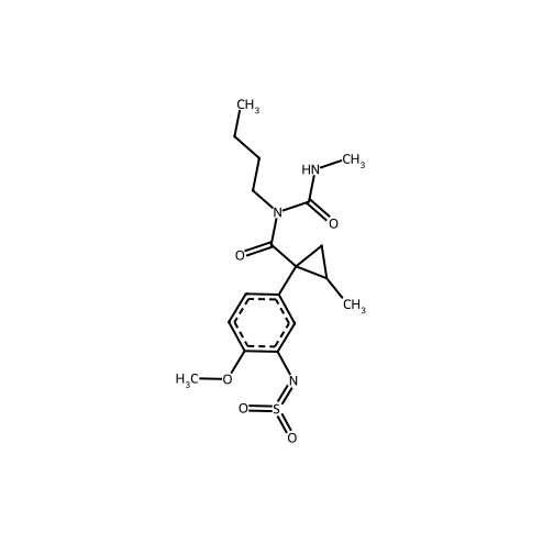 CCCCN(C(=O)NC)C(=O)C1(c2ccc(OC)c(N=S(=O)=O)c2)CC1C